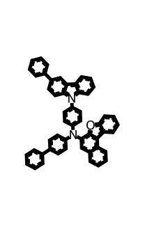 c1ccc(-c2ccc(N(c3ccc(-n4c5ccccc5c5cc(-c6ccccc6)ccc54)cc3)c3cc4ccccc4c4c3oc3ccccc34)cc2)cc1